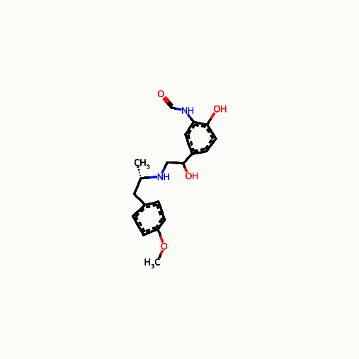 COc1ccc(C[C@H](C)NCC(O)c2ccc(O)c(NC=O)c2)cc1